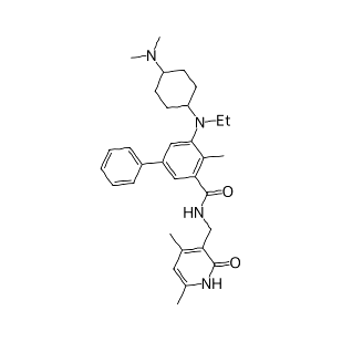 CCN(c1cc(-c2ccccc2)cc(C(=O)NCc2c(C)cc(C)[nH]c2=O)c1C)C1CCC(N(C)C)CC1